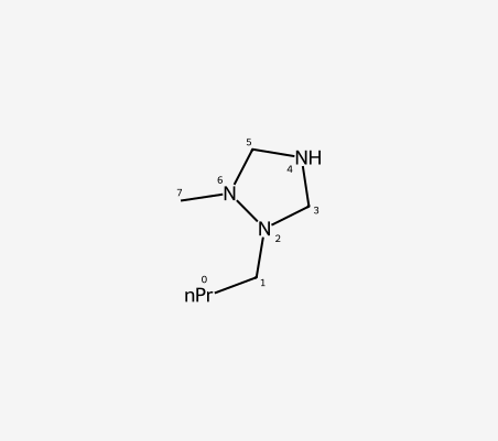 CCCCN1CNCN1C